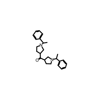 CC(c1ccccc1)N1CCC(C(=O)C2CCN(C(C)c3ccccc3)C2)C1